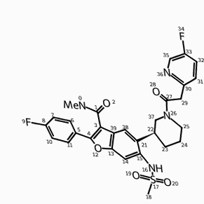 CNC(=O)c1c(-c2ccc(F)cc2)oc2cc(NS(C)(=O)=O)c([C@@H]3CCCN(C(=O)Cc4ccc(F)cn4)C3)cc12